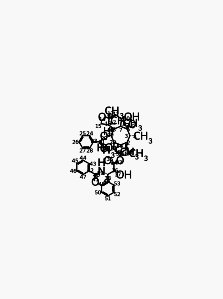 CC1=C2[C@@H](C)C(=O)[C@]3(C)[C@@H](O)C[C@@]4(C)OC[C@@]4(C)[C@H]3[C@H](OC(=O)c3ccccc3)[C@](O)(C[C@@H]1OC(=O)[C@H](O)[C@@H](NC(=O)c1ccccc1)c1ccccc1)C2(C)C